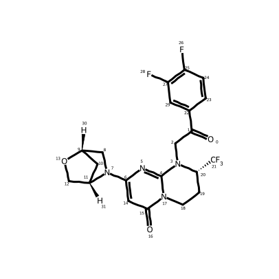 O=C(CN1c2nc(N3C[C@@H]4C[C@H]3CO4)cc(=O)n2CC[C@H]1C(F)(F)F)c1ccc(F)c(F)c1